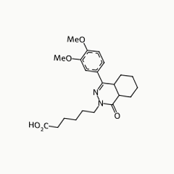 COc1ccc(C2=NN(CCCCCC(=O)O)C(=O)C3CCCCC23)cc1OC